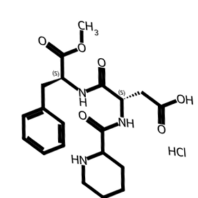 COC(=O)[C@H](Cc1ccccc1)NC(=O)[C@H](CC(=O)O)NC(=O)C1CCCCN1.Cl